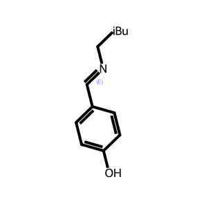 CCC(C)C/N=C/c1ccc(O)cc1